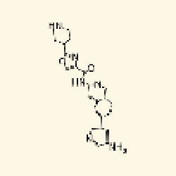 Nc1cncc(-c2ccc3cnc(NC(=O)c4coc(C5CCNCC5)n4)cc3c2)c1